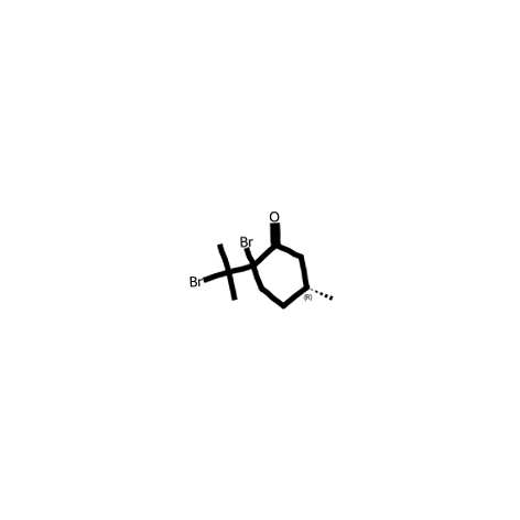 C[C@@H]1CCC(Br)(C(C)(C)Br)C(=O)C1